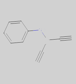 C#C[SiH](C#C)Nc1ccccc1